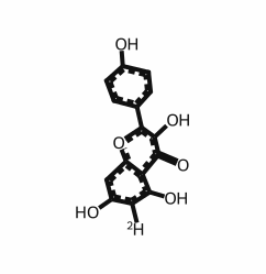 [2H]c1c(O)cc2oc(-c3ccc(O)cc3)c(O)c(=O)c2c1O